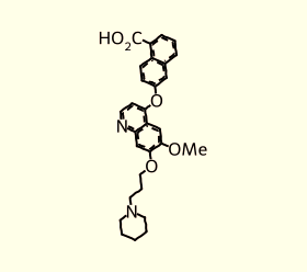 COc1cc2c(Oc3ccc4c(C(=O)O)cccc4c3)ccnc2cc1OCCCN1CCCCC1